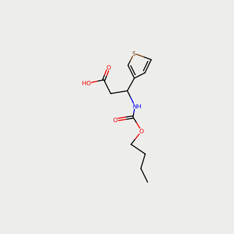 CCCCOC(=O)NC(CC(=O)O)c1ccsc1